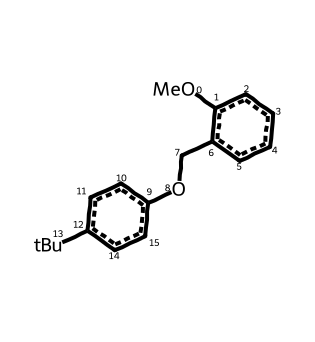 COc1ccccc1COc1ccc(C(C)(C)C)cc1